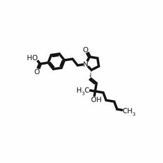 CCCCCC(C)(O)/C=C/[C@H]1CCC(=O)N1CCc1ccc(C(=O)O)cc1